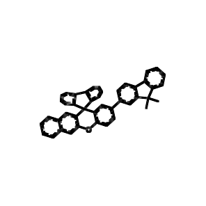 CC1(C)c2ccccc2-c2ccc(-c3ccc4c(c3)C3(c5cc6ccccc6cc5O4)c4ccccc4-c4ccccc43)cc21